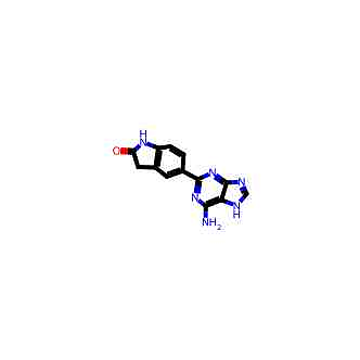 Nc1nc(-c2ccc3c(c2)CC(=O)N3)nc2nc[nH]c12